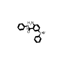 Nc1ccc([S+]([O-])c2ccccc2)cc1C(=O)Nc1ccccc1